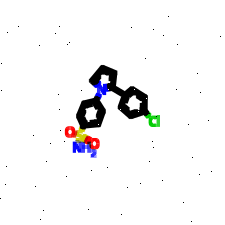 NS(=O)(=O)c1ccc(-n2cccc2-c2ccc(Cl)cc2)cc1